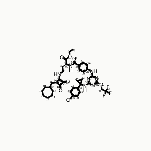 CCOC(=O)[C@H](CCNc1c(CC2CCCCCC2)c(=O)c1=O)NC(=O)c1ccc(Nc2nc(NC3(c4ccc(Cl)cc4)CC3)nc(OCC(F)(F)F)n2)cc1